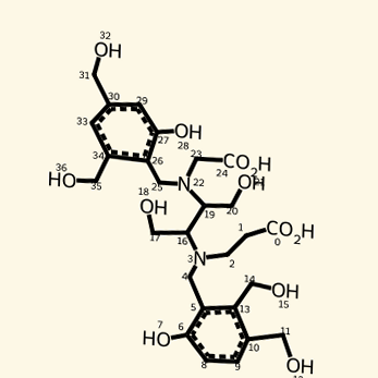 O=C(O)CCN(Cc1c(O)ccc(CO)c1CO)C(CO)C(CO)N(CC(=O)O)Cc1c(O)cc(CO)cc1CO